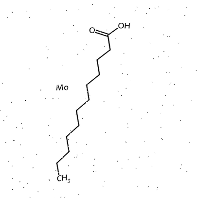 CCCCCCCCCCCC(=O)O.[Mo]